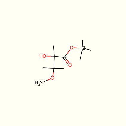 CC(C)(O[SiH3])C(C)(O)C(=O)O[Si](C)(C)C